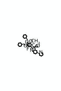 COc1cc(-c2nc3ccc(-c4ccccn4)cc3n2C2(C)COC2)c(F)c(OCc2ccccc2)c1OCc1ccccc1